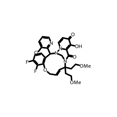 COCCC1(CCOC)/C=C/COc2c(ccc(F)c2F)C(c2ncccc2Cl)N2CN1C(=O)c1c(O)c(=O)ccn12